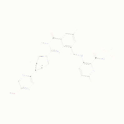 COc1cnc(C2[C@H]3CN(c4nc5c([C@@H](C)Nc6ccc(Cl)nc6C(=O)NS(C)(=O)=O)cc(C)cc5c(=O)n4C)C[C@@H]23)cn1